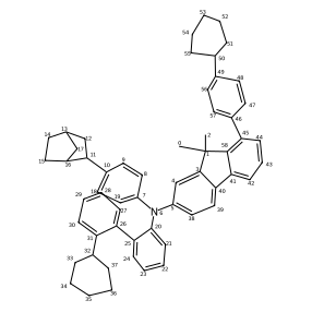 CC1(C)c2cc(N(c3ccc(C4CC5CCC4C5)cc3)c3ccccc3-c3ccccc3C3CCCCC3)ccc2-c2cccc(-c3ccc(C4CCCCC4)cc3)c21